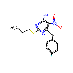 CCCSc1nc(N)c([N+](=O)[O-])c(Cc2ccc(F)cc2)n1